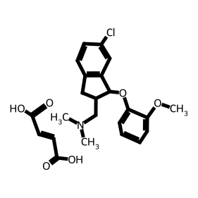 COc1ccccc1OC1c2cc(Cl)ccc2CC1CN(C)C.O=C(O)C=CC(=O)O